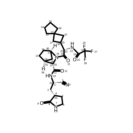 N#C[C@H](C[C@@H]1CCNC1=O)NC(=O)[C@@H]1[C@H]2CC[C@H](C2)N1C(=O)[C@@H](NC(=O)C(F)(F)F)C1CC2(CCCC2)C1